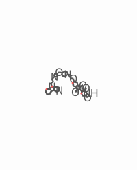 O=C1CCC(N2C(=O)c3ccc(OCCN4CCC(OC5CN(CCCn6c7ccccc7c7cnccc76)C5)CC4)cc3C2=O)C(=O)N1